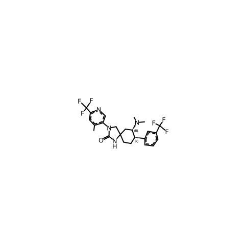 Cc1cc(C(F)(F)F)ncc1N1CC2(CC[C@H](c3cccc(C(F)(F)F)c3)[C@H](N(C)C)C2)NC1=O